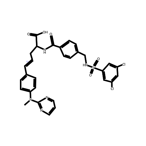 CN(c1ccc(/C=C/CC(NC(=O)c2ccc(CNS(=O)(=O)c3cc(Cl)cc(Cl)c3)cc2)C(=O)O)cc1)c1ncccn1